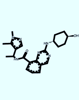 Cc1c(C(C)NC(=O)c2cccc3cnc(N[C@H]4CC[C@H](O)CC4)nc23)cnn1C